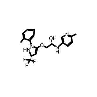 Cc1ccc(N[C@@H](O)COC2=C[C@H](C(F)(F)F)NN2c2ccccc2C)cn1